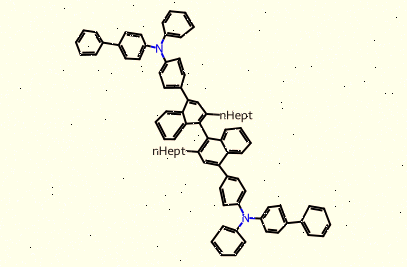 CCCCCCCc1cc(-c2ccc(N(c3ccccc3)c3ccc(-c4ccccc4)cc3)cc2)c2ccccc2c1-c1c(CCCCCCC)cc(-c2ccc(N(c3ccccc3)c3ccc(-c4ccccc4)cc3)cc2)c2ccccc12